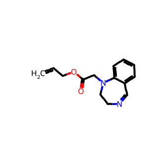 C=CCOC(=O)CN1CCN=Cc2ccccc21